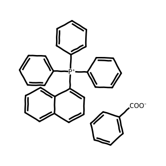 O=C([O-])c1ccccc1.c1ccc([P+](c2ccccc2)(c2ccccc2)c2cccc3ccccc23)cc1